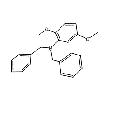 COc1ccc(OC)c(N(Cc2ccccc2)Cc2ccccc2)c1